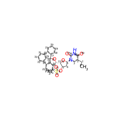 CCc1cn([C@@H]2CC(OS(C)(=O)=O)[C@H](COC(c3ccccc3)(c3ccccc3)c3ccccc3)O2)c(=O)[nH]c1=O